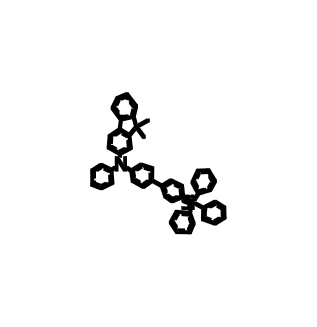 CC1(C)c2ccccc2-c2ccc(N(c3ccccc3)c3ccc(-c4ccc([Si](c5ccccc5)(c5ccccc5)c5ccccc5)cc4)cc3)cc21